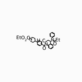 CCOC(=O)N1CCC(c2ccc(C(=O)N3c4ccccc4[C@@H](N(C(=O)CC)c4ccccc4)C[C@H]3C)cc2)CC1